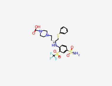 NS(=O)(=O)c1ccc(N[C@H](CCN2CCN(C(=O)O)CC2)CSc2ccccc2)c(S(=O)(=O)C(F)(F)F)c1